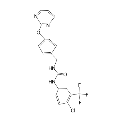 O=C(NCc1ccc(Oc2ncccn2)cc1)Nc1ccc(Cl)c(C(F)(F)F)c1